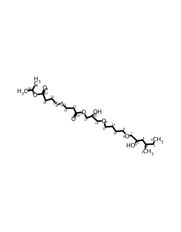 CCC(C)CC(O)COCCCCOCC(O)COC(=O)CCSSCCC(=O)OC(C)C